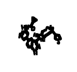 O=C(Nc1cncc(-c2ccc3[nH]nc(-c4nc5c(-c6ccsc6)cncc5[nH]4)c3c2)c1)C1CC1